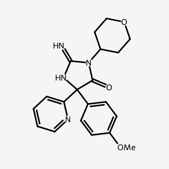 COc1ccc(C2(c3ccccn3)NC(=N)N(C3CCOCC3)C2=O)cc1